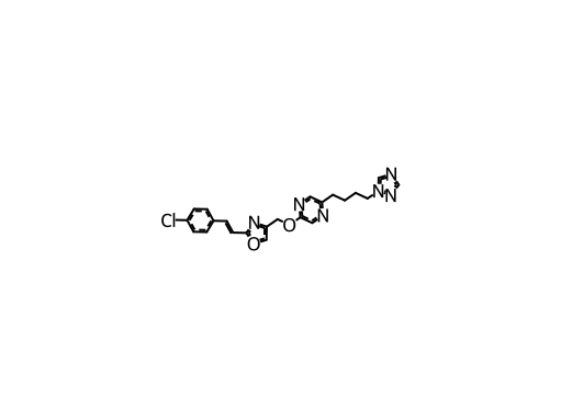 Clc1ccc(C=Cc2nc(COc3cnc(CCCCn4cncn4)cn3)co2)cc1